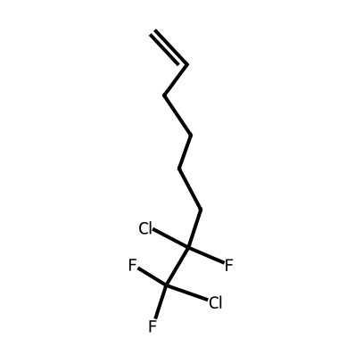 C=CCCCCC(F)(Cl)C(F)(F)Cl